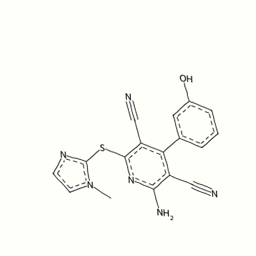 Cn1ccnc1Sc1nc(N)c(C#N)c(-c2cccc(O)c2)c1C#N